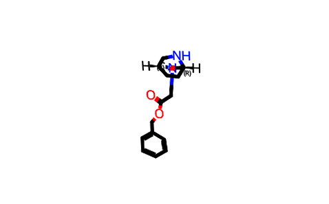 O=C(CN1C[C@@H]2CC[C@H](C1)NC2)OCc1ccccc1